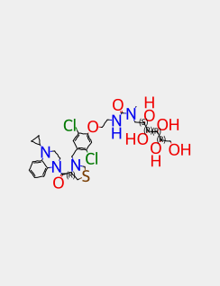 CN(C[C@H](O)[C@@H](O)[C@H](O)[C@H](O)CO)C(=O)NCCOc1cc(Cl)c(CN2CSC[C@H]2C(=O)N2CCN(C3CC3)c3ccccc32)cc1Cl